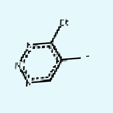 CCc1cnnnc1CC